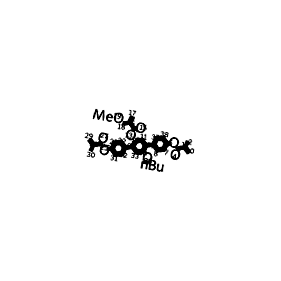 C=C(C)C(=O)Oc1ccc(-c2cc(OC(=O)C(=C)COC)c(-c3ccc(OC(=O)C(=C)C)cc3)cc2OCCCC)cc1